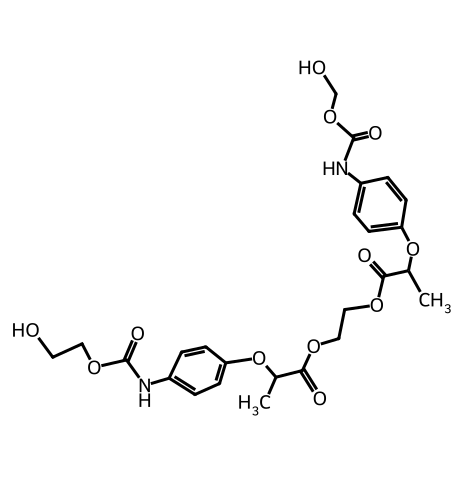 CC(Oc1ccc(NC(=O)OCO)cc1)C(=O)OCCOC(=O)C(C)Oc1ccc(NC(=O)OCCO)cc1